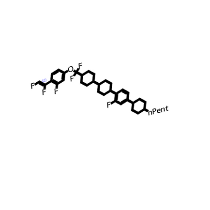 CCCCCC1CCC(c2ccc(C3CCC(C4CCC(C(F)(F)Oc5ccc(/C(F)=C/F)c(F)c5)CC4)CC3)c(F)c2)CC1